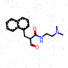 CN(C)CCNC(=O)C([C]=O)Cc1cccc2ccccc12